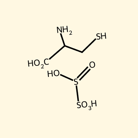 NC(CS)C(=O)O.O=S(O)S(=O)(=O)O